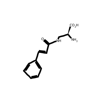 N[C@@H](CNC(=O)C=Cc1ccccc1)C(=O)O